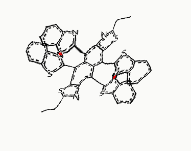 CCc1nc2c(-c3nc4ccccc4s3)c3c(-c4nc5ccccc5s4)c4sc(CC)nc4c(-c4nc5ccccc5s4)c3c(-c3nc4ccccc4s3)c2s1